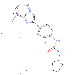 Cc1cccn2cc(-c3ccc(NC(=O)CN4CCCC4)cc3)nc12